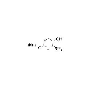 CCCCCCO[C@@H]1CC[C@H](O)[C@@H](C(F)(F)F)O1